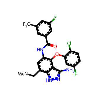 CNCc1cc(NC(=O)c2cc(F)cc(C(F)(F)F)c2)c(Oc2cc(F)ccc2Cl)c2c(N)n[nH]c12